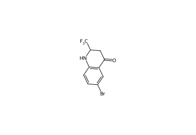 O=C1CC(C(F)(F)F)Nc2ccc(Br)cc21